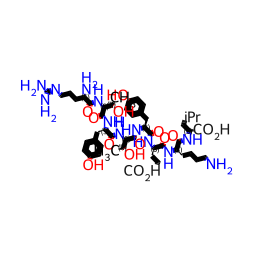 CC(C)C[C@H](NC(=O)[C@H](CCCCN)NC(=O)[C@H](CCC(=O)O)NC(=O)[C@H](Cc1ccc(O)cc1)NC(=O)[C@@H](NC(=O)[C@H](Cc1ccc(O)cc1)NC(=O)[C@@H](NC(=O)[C@@H](N)CCCN=C(N)N)[C@@H](C)O)[C@@H](C)O)C(=O)O